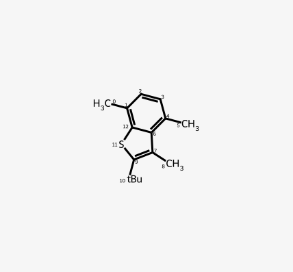 Cc1ccc(C)c2c(C)c(C(C)(C)C)sc12